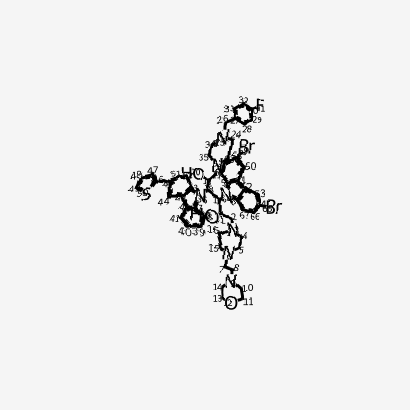 OC(CN1CCN(CCN2CCOCC2)CC1)C(C(C(O)CN1CCN(Cc2ccc(F)cc2)CC1)n1c2ccccc2c2cc(-c3cccs3)ccc21)n1c2ccc(Br)cc2c2cc(Br)ccc21